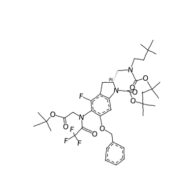 CC(C)(C)CCN(C[C@H]1Cc2c(cc(OCc3ccccc3)c(N(CC(=O)OC(C)(C)C)C(=O)C(F)(F)F)c2F)N1C(=O)OC(C)(C)C)C(=O)OC(C)(C)C